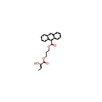 CC=C(O)C(=O)OCCCOC(=O)c1c2ccccc2cc2ccccc12